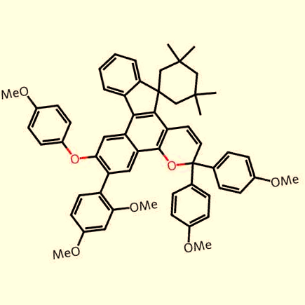 COc1ccc(Oc2cc3c4c(c5c(c3cc2-c2ccc(OC)cc2OC)OC(c2ccc(OC)cc2)(c2ccc(OC)cc2)C=C5)C2(CC(C)(C)CC(C)(C)C2)c2ccccc2-4)cc1